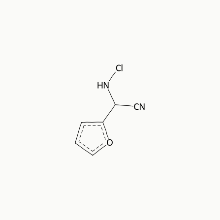 N#CC(NCl)c1ccco1